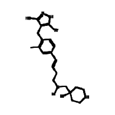 CCN(CC/C=C/c1ccc(Cc2c(O)n[nH]c2C(C)C)c(C)c1)CC1(CC)CCNCC1